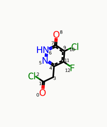 O=C(Cl)Cc1n[nH]c(=O)c(Cl)c1F